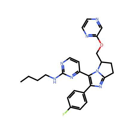 CCCCNc1nccc(-c2c(-c3ccc(F)cc3)nc3n2C(COc2cnccn2)CC3)n1